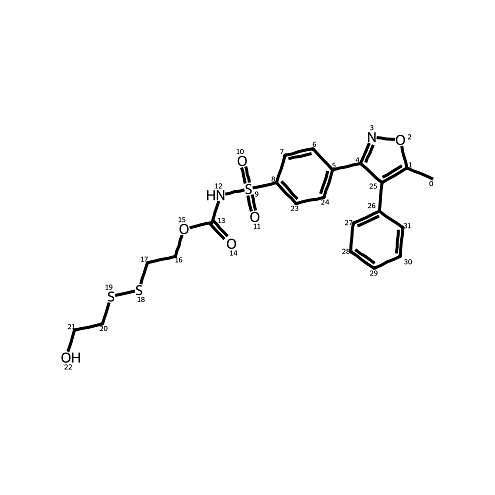 Cc1onc(-c2ccc(S(=O)(=O)NC(=O)OCCSSCCO)cc2)c1-c1ccccc1